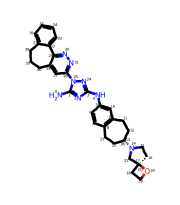 Nc1nc(Nc2ccc3c(c2)CC[C@H](N2CC[C@]4(CCO4)C2)CC3)nn1-c1cc2c(nn1)-c1ccccc1CCC2